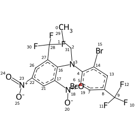 CCCN(c1c(Br)cc(C(F)(F)F)cc1Br)c1c([N+](=O)[O-])cc([N+](=O)[O-])cc1C(F)(F)F